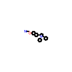 N#CCOc1ccc2cc(-c3ccc(-c4ccccc4)n3-c3ccccc3)ccc2c1